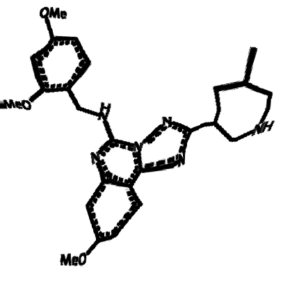 COc1ccc(CNc2nc3cc(OC)ccc3c3nc(C4CNCC(C)C4)nn23)c(OC)c1